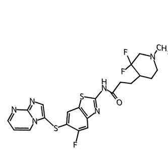 CN1CCC(CCC(=O)Nc2nc3cc(F)c(Sc4cnc5ncccn45)cc3s2)C(F)(F)C1